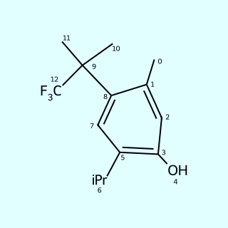 Cc1cc(O)c(C(C)C)cc1C(C)(C)C(F)(F)F